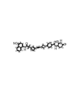 CC(C)(C(=O)Nc1ccc(C#N)c2ccccc12)n1cc(C#CC2CN(c3ccc(C(=O)NC4CCC(=O)NC4=O)nc3)C2)cn1